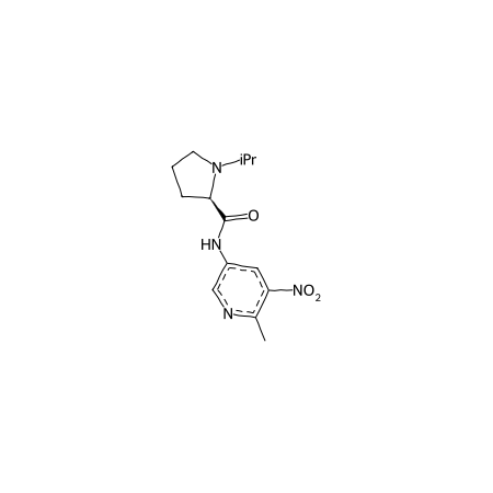 Cc1ncc(NC(=O)[C@H]2CCCN2C(C)C)cc1[N+](=O)[O-]